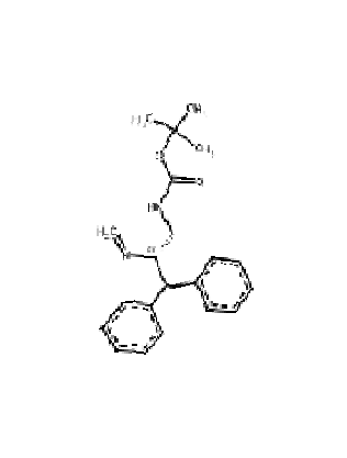 C=N[C@H](CNC(=O)OC(C)(C)C)C(c1ccccc1)c1ccccc1